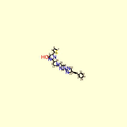 Oc1cc(-c2cccs2)nc(C2CCCN(Cc3cn(-c4ncc(C#Cc5ccccc5)cn4)cn3)C2)n1